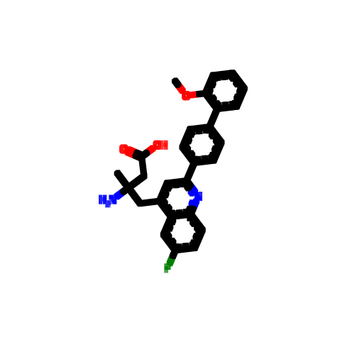 COc1ccccc1-c1ccc(-c2cc(CC(C)(N)CC(=O)O)c3cc(F)ccc3n2)cc1